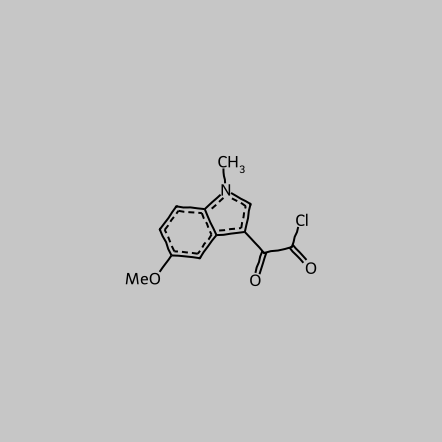 COc1ccc2c(c1)c(C(=O)C(=O)Cl)cn2C